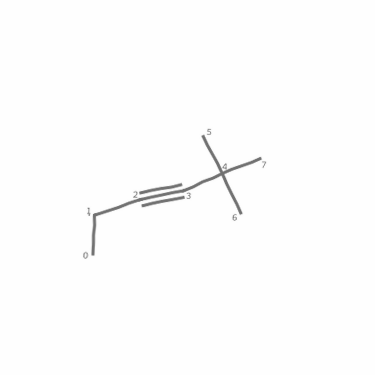 C[CH]C#CC(C)(C)C